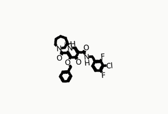 O=C(NCc1ccc(F)c(Cl)c1F)c1cn2c(c(OCc3ccccc3)c1=O)C(=O)N1CCCC[C@@H]2C1